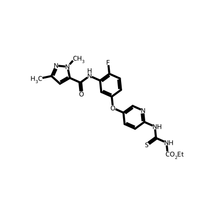 CCOC(=O)NC(=S)Nc1ccc(Oc2ccc(F)c(NC(=O)c3cc(C)nn3C)c2)cn1